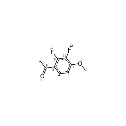 COc1ccc(C(C)=O)c(F)c1F